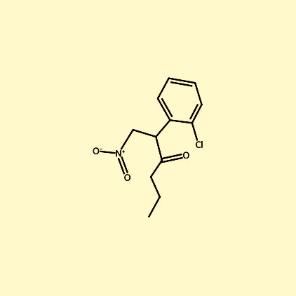 CCCC(=O)C(C[N+](=O)[O-])c1ccccc1Cl